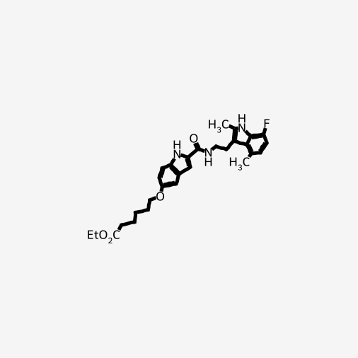 CCOC(=O)CCCCCOc1ccc2[nH]c(C(=O)NCCc3c(C)[nH]c4c(F)ccc(C)c34)cc2c1